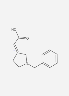 O=C(O)/C=C1/CCN(Cc2ccccc2)C1